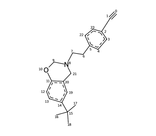 C#Cc1ccc(CCN2COc3ccc(C(C)(C)C)cc3C2)cc1